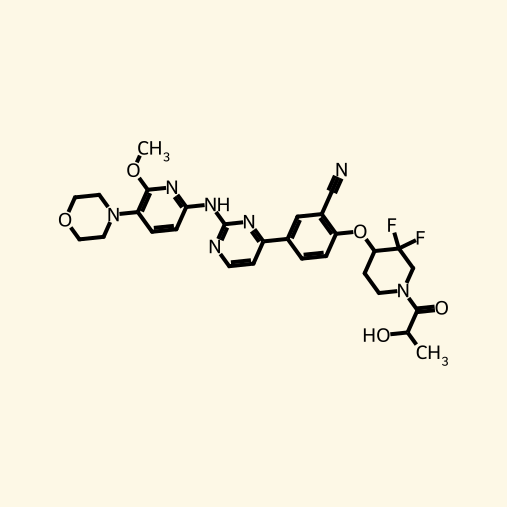 COc1nc(Nc2nccc(-c3ccc(OC4CCN(C(=O)C(C)O)CC4(F)F)c(C#N)c3)n2)ccc1N1CCOCC1